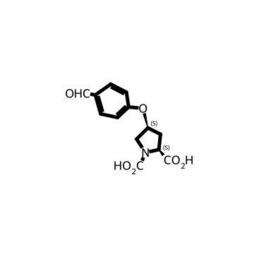 O=Cc1ccc(O[C@H]2C[C@@H](C(=O)O)N(C(=O)O)C2)cc1